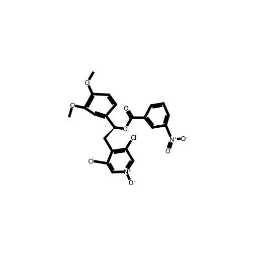 COc1ccc([C@H](Cc2c(Cl)c[n+]([O-])cc2Cl)OC(=O)c2cccc([N+](=O)[O-])c2)cc1OC